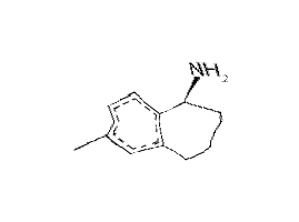 Cc1ccc2c(c1)CCC[C@@H]2N